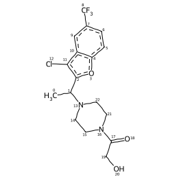 CC(c1oc2ccc(C(F)(F)F)cc2c1Cl)N1CCN(C(=O)CO)CC1